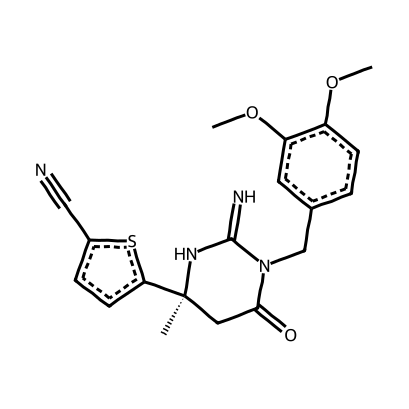 COc1ccc(CN2C(=N)N[C@](C)(c3ccc(C#N)s3)CC2=O)cc1OC